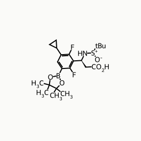 CC(C)(C)[S+]([O-])N[C@@H](CC(=O)O)c1c(F)c(B2OC(C)(C)C(C)(C)O2)cc(C2CC2)c1F